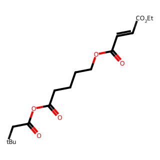 CCOC(=O)/C=C/C(=O)OCCCCC(=O)OC(=O)CC(C)(C)C